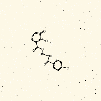 Cn1c(C(=O)ONNC(=O)c2ccc(Cl)cc2)cccc1=O